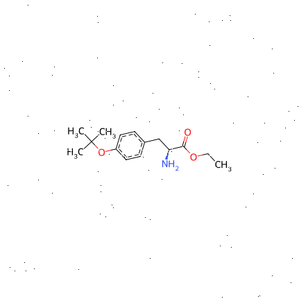 CCOC(=O)[C@@H](N)Cc1ccc(OC(C)(C)C)cc1